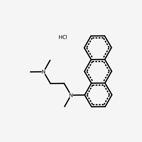 CN(C)CCN(C)c1cccc2cc3ccccc3cc12.Cl